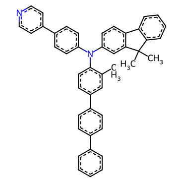 Cc1cc(-c2ccc(-c3ccccc3)cc2)ccc1N(c1ccc(-c2ccncc2)cc1)c1ccc2c(c1)C(C)(C)c1ccccc1-2